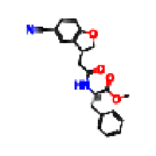 COC(=O)[C@H](Cc1ccccc1)NC(=O)CC1COc2ccc(C#N)cc21